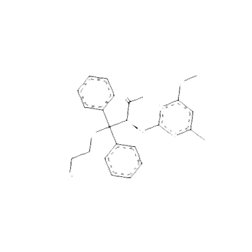 COc1cc(C)nc(N[C@H](C(=O)O)C(OCCO)(c2ccccc2)c2ccccc2)n1